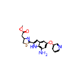 COC(=O)CC1CSC(c2cc3cc(Oc4cccnc4)cc(N)c3[nH]2)=N1